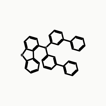 c1ccc(-c2cccc(N(c3cccc(-c4ccccc4)c3)c3cccc4oc5ccccc5c34)c2)cc1